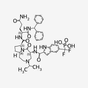 CC(C)N1CC[C@H]2CC[C@@H](C(=O)N[C@@H](CCC(N)=O)C(=O)NC(c3ccccc3)c3ccccc3)N2C(=O)[C@@H](NC(=O)c2cc3cc(C(F)(F)P(=O)(O)O)ccc3[nH]2)C1